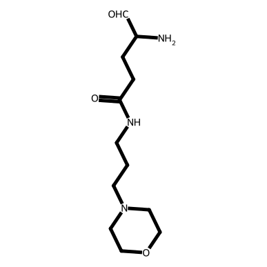 NC(C=O)CCC(=O)NCCCN1CCOCC1